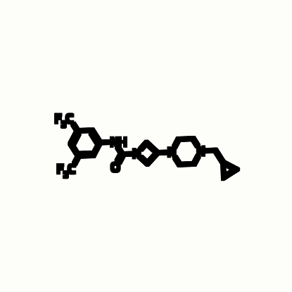 O=C(Nc1cc(C(F)(F)F)cc(C(F)(F)F)c1)N1CC(N2CCN(CC3CC3)CC2)C1